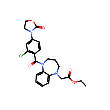 CCOC(=O)CN1CCCN(C(=O)c2ccc(N3CCOC3=O)cc2Cl)c2ccccc21